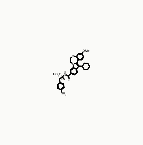 COc1ccc2c(c1)OCCn1c-2c(C2CCCCC2)c2ccc(C(=O)N[C@@](C)(Cc3ccc(N)cc3)C(=O)O)cc21